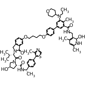 CCN(c1cc(-c2ccc(OCCCCOc3ccc4c(c3)C(=O)N([C@H](C(=O)N3C[C@H](O)C[C@H]3C(=O)N[C@@H](C)c3ccc(-c5scnc5C)cc3)C(C)C)C4)cc2)cc(C(=O)NCC2=C(C)C=C(C)NC2O)c1C)C1CCOCC1